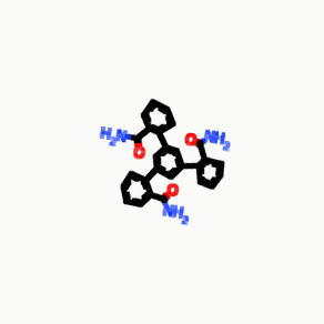 NC(=O)c1ccccc1-c1cc(-c2ccccc2C(N)=O)cc(-c2ccccc2C(N)=O)c1